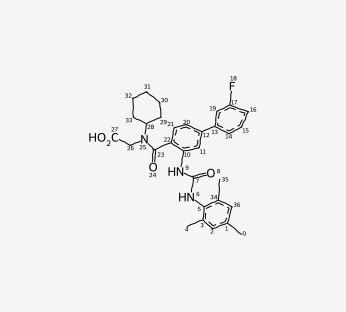 Cc1cc(C)c(NC(=O)Nc2cc(-c3cccc(F)c3)ccc2C(=O)N(CC(=O)O)C2CCCCC2)c(C)c1